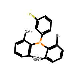 CCc1cccc(OC)c1P(c1cccc(S)c1)c1c(OC)cccc1OC